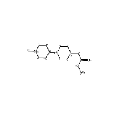 CCCOC(=O)CN1CCN(C2CCN(C)CC2)CC1